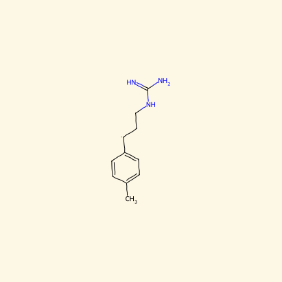 Cc1ccc([CH]CCNC(=N)N)cc1